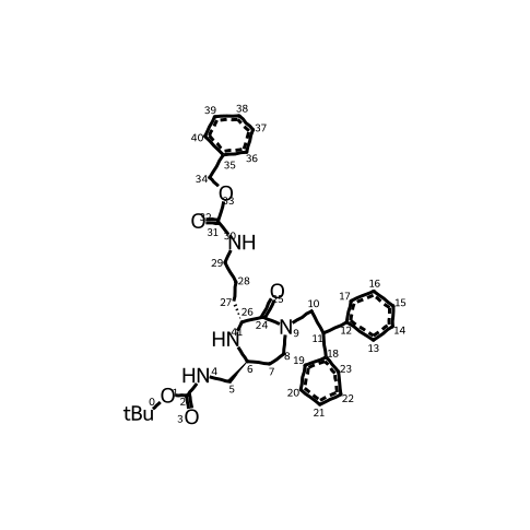 CC(C)(C)OC(=O)NC[C@@H]1CCN(CC(c2ccccc2)c2ccccc2)C(=O)[C@@H](CCCNC(=O)OCc2ccccc2)N1